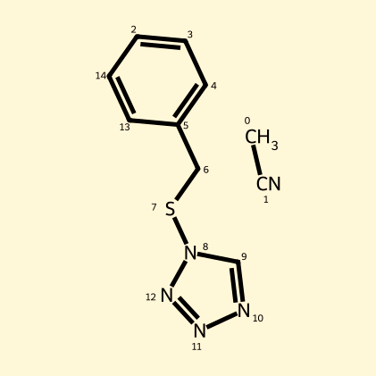 CC#N.c1ccc(CSn2cnnn2)cc1